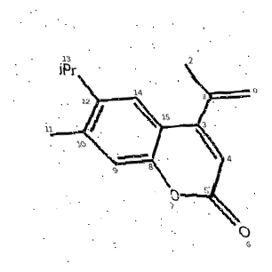 C=C(C)c1cc(=O)oc2cc(C)c(C(C)C)cc12